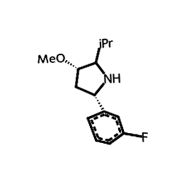 CO[C@H]1C[C@@H](c2cccc(F)c2)NC1C(C)C